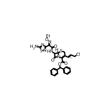 CCO/N=C(/C(=O)NC1C(=O)N2C(C(=O)OC(c3ccccc3)c3ccccc3)=C(/C=C/CCl)CS[C@H]12)c1nsc(N)n1